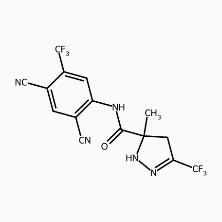 CC1(C(=O)Nc2cc(C(F)(F)F)c(C#N)cc2C#N)CC(C(F)(F)F)=NN1